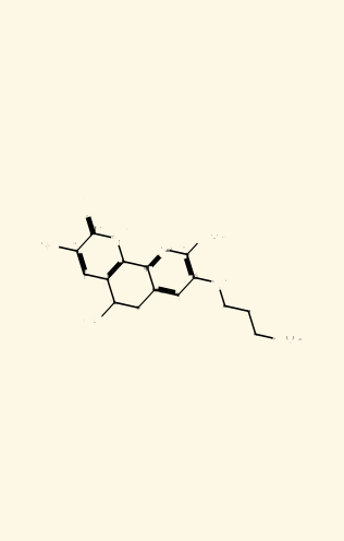 COCCCOc1cc2c(nc1OC)-c1[nH]c(=O)c(C#N)cc1C(C(C)(C)C)C2